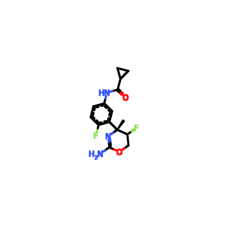 C[C@]1(c2cc(NC(=O)C3CC3)ccc2F)N=C(N)OC[C@@H]1F